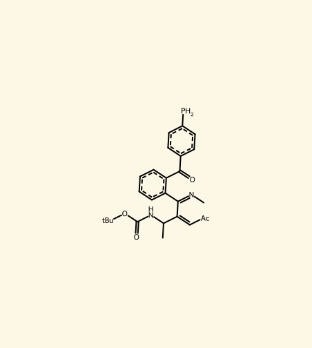 C/N=C(\C(=C/C(C)=O)C(C)NC(=O)OC(C)(C)C)c1ccccc1C(=O)c1ccc(P)cc1